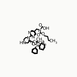 CCCCOC(=O)N(Cc1cnc(N2CCNCC2CO[Si](c2ccccc2)(c2ccccc2)C(C)(C)C)nc1)C(=O)O